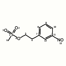 CS(=O)(=O)OCCc1cccc(N=O)c1